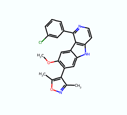 COc1cc2c(cc1-c1c(C)noc1C)[nH]c1ccnc(-c3cccc(Cl)c3)c12